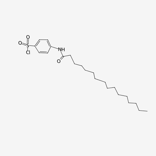 CCCCCCCCCCCCCCCC(=O)Nc1ccc(S(=O)(=O)Cl)cc1